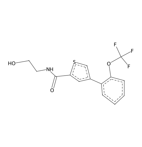 O=C(NCCO)c1cc(-c2ccccc2OC(F)(F)F)cs1